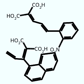 C=CC(=C(C(=O)O)C(=O)O)c1cccc2ccccc12.O=C(O)C(=CC=Cc1ccccc1[N+](=O)[O-])C(=O)O